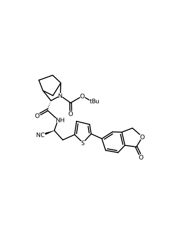 CC(C)(C)OC(=O)N1C2CCC(C2)[C@H]1C(=O)N[C@H](C#N)Cc1ccc(-c2ccc3c(c2)COC3=O)s1